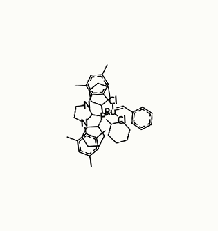 Cc1cc(C)c(N2CCN(c3c(C)cc(C)cc3C)C2[P](C2CCCCC2)(C2CCCCC2)(C2CCCCC2)[Ru]([Cl])([Cl])=[CH]c2ccccc2)c(C)c1